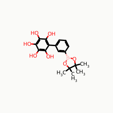 CC1(C)OB(c2cccc(-c3c(O)c(O)c(O)c(O)c3O)c2)OC1(C)C